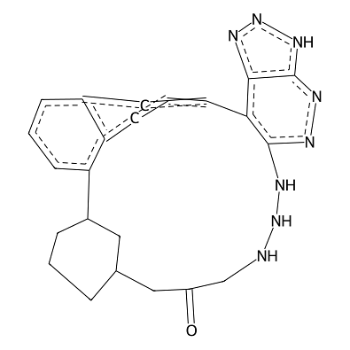 O=C1CNNNc2nnc3[nH]nnc3c2-c2ccc3c(cccc3c2)C2CCCC(C1)C2